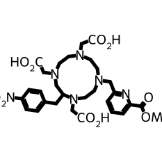 COC(=O)c1cccc(CN2CCN(CC(=O)O)CCN(CC(=O)O)CC(Cc3ccc([N+](=O)[O-])cc3)N(CC(=O)O)CC2)n1